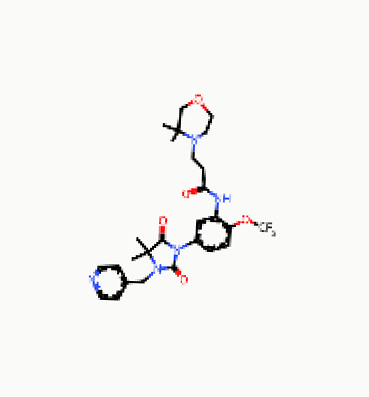 CC1(C)COCCN1CCC(=O)Nc1cc(N2C(=O)N(Cc3ccncc3)C(C)(C)C2=O)ccc1OC(F)(F)F